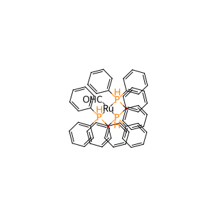 O=[CH][Ru]([PH](c1ccccc1)(c1ccccc1)c1ccccc1)([PH](c1ccccc1)(c1ccccc1)c1ccccc1)[PH](c1ccccc1)(c1ccccc1)c1ccccc1